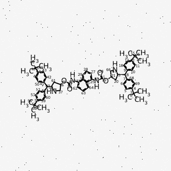 CC(C)(C)c1ccc(C(c2ccc(C(C)(C)C)cc2)[C@H]2C[C@@H](OC(=O)Nc3cccc4c(NC(=O)O[C@H]5CN[C@@H](C(c6ccc(C(C)(C)C)cc6)c6ccc(C(C)(C)C)cc6)C5)cccc34)CN2)cc1